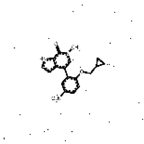 Cn1cc(-c2cc([N+](=O)[O-])ccc2OCC2CC2)c2cc[nH]c2c1=O